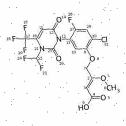 COC(=CC(=O)O)COc1cc(-n2c(=O)cc(C(F)(F)F)n(C(F)F)c2=O)c(F)cc1Cl